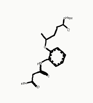 CCCCCCCC(Cl)CCC(C)Oc1ccccc1NC(=O)CC(=O)C(C)(C)C